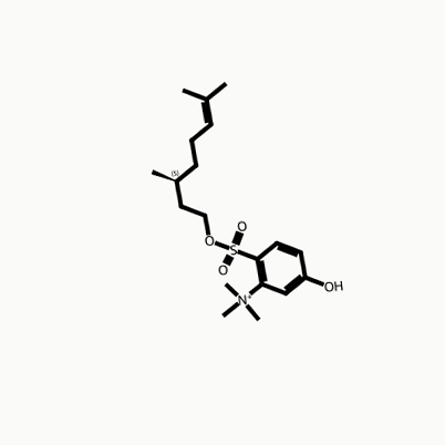 CC(C)=CCC[C@H](C)CCOS(=O)(=O)c1ccc(O)cc1[N+](C)(C)C